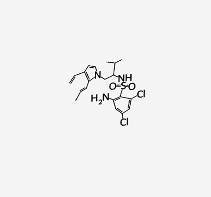 C=Cc1ccn(CC(NS(=O)(=O)c2c(N)cc(Cl)cc2Cl)C(C)C)c1C=CC